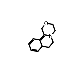 C1=CC2=C3COCCN3CCC2C=C1